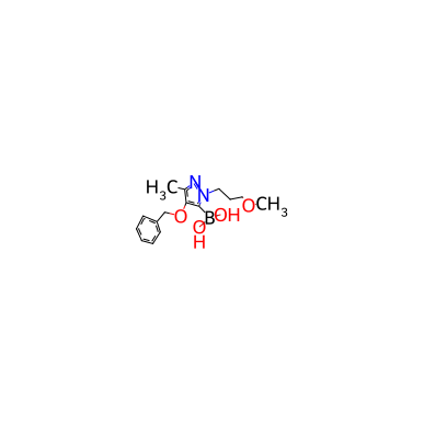 COCCCn1nc(C)c(OCc2ccccc2)c1B(O)O